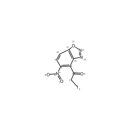 O=C(CI)c1c([N+](=O)[O-])ccc2onnc12